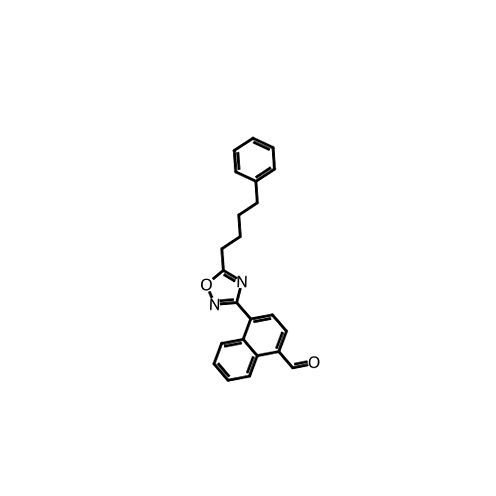 O=Cc1ccc(-c2noc(CCCCc3ccccc3)n2)c2ccccc12